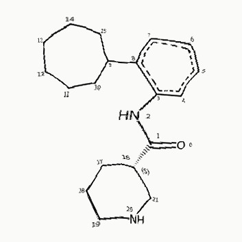 O=C(Nc1ccccc1C1CCCCCC1)[C@H]1CCCNC1